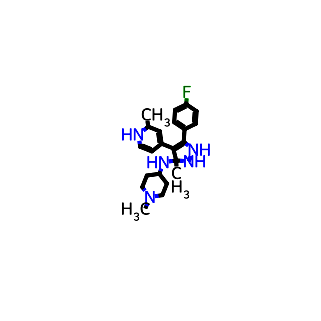 CC1C=C(C2=C(c3ccc(F)cc3)NNC2(C)NC2CCN(C)CC2)C=CN1